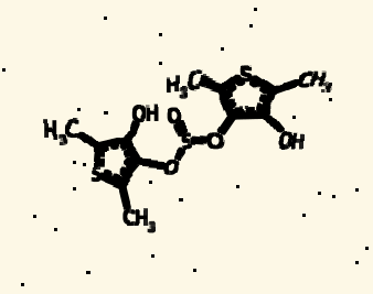 Cc1sc(C)c(OS(=O)Oc2c(C)sc(C)c2O)c1O